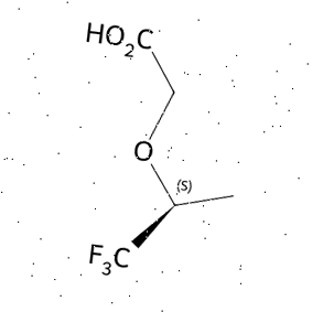 C[C@H](OCC(=O)O)C(F)(F)F